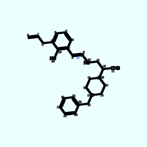 C=CCc1cccc(/C=N/NCC(C=O)N2CCN(Cc3ccccc3)CC2)c1O